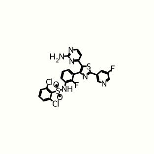 Nc1nccc(-c2sc(-c3cncc(F)c3)nc2-c2cccc(NS(=O)(=O)c3c(Cl)cccc3Cl)c2F)n1